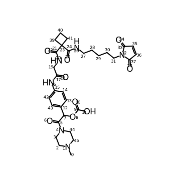 CN1CCN(C(=O)C(OC(=O)O)c2ccc(NC(=O)CNC(=O)C3(C(=O)NCCCCCN4C(=O)C=CC4=O)CCC3)cc2)CC1